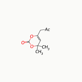 CC(=O)CC1=CC(C)(C)OC(=O)O1